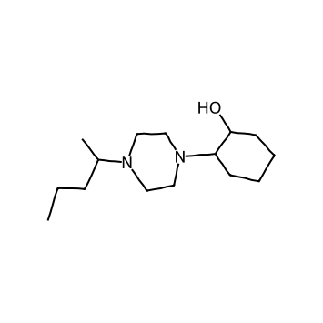 CCCC(C)N1CCN(C2CCCCC2O)CC1